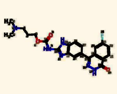 CN(C)CCCOC(=O)Nc1nc2cc(-c3n[nH]c(=O)c4ccc(F)cc34)ccc2[nH]1